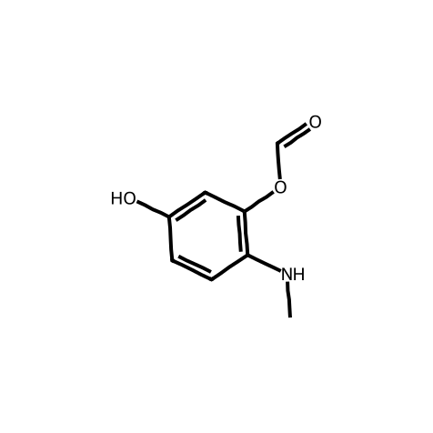 CNc1ccc(O)cc1OC=O